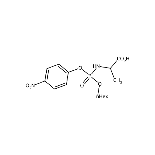 CCCCCCOP(=O)(NC(C)C(=O)O)Oc1ccc([N+](=O)[O-])cc1